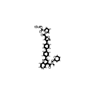 CN(OC1CCCCO1)C(=O)c1cc(-c2ccc(-c3ccc(-c4cc(C(=O)N5CCC[C@@H]5C(=O)OC(C)(C)C)on4)cc3)cc2)nc2ccncc12